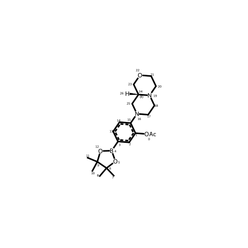 CC(=O)Oc1cc(B2OC(C)(C)C(C)(C)O2)ccc1N1CCN2CCOC[C@H]2C1